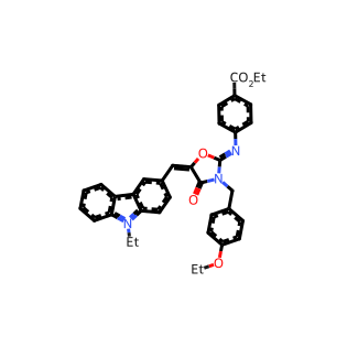 CCOC(=O)c1ccc(/N=C2\O/C(=C/c3ccc4c(c3)c3ccccc3n4CC)C(=O)N2Cc2ccc(OCC)cc2)cc1